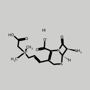 C[N+](C)(CC=CC1=C(C(=O)[O-])N2C(=O)[C@@H](N)[C@H]2SC1)CC(=O)O.I